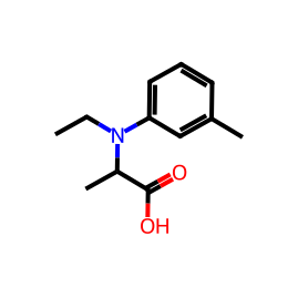 CCN(c1cccc(C)c1)C(C)C(=O)O